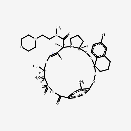 C[C@@H]1[C@@H](C)C/C=C(\F)[C@@H](C(=O)N(C)CCN2CCOCC2)N2CCC[C@H]2CC[C@@]2(CCCc3cc(Cl)ccc32)COc2ccc(cc2N)C(=O)NS1(=O)=O